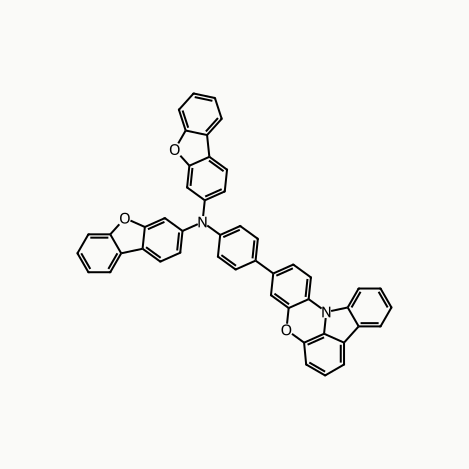 c1ccc2c(c1)oc1cc(N(c3ccc(-c4ccc5c(c4)Oc4cccc6c7ccccc7n-5c46)cc3)c3ccc4c(c3)oc3ccccc34)ccc12